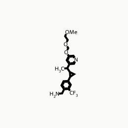 COCCOCOc1cncc(C(C)C2CC2c2ccc(CN)c(C(F)(F)F)c2)c1